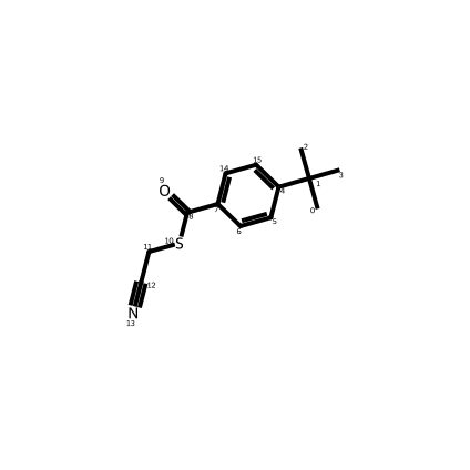 CC(C)(C)c1ccc(C(=O)SCC#N)cc1